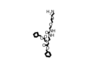 NCCOCCOCCNC(=O)NCCN(CC(=O)OCc1ccccc1)CC(=O)OCc1ccccc1